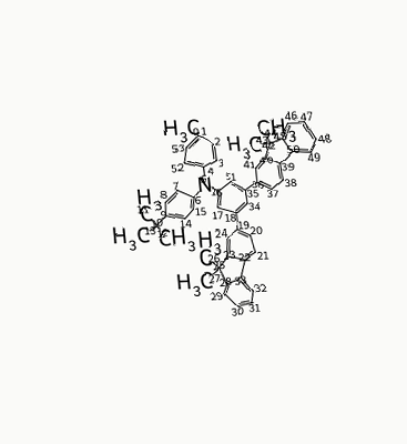 Cc1ccc(N(c2ccc(C(C)(C)C)cc2)c2cc(-c3ccc4c(c3)C(C)(C)c3ccccc3-4)cc(-c3ccc4c(c3)C(C)(C)c3ccccc3-4)c2)cc1